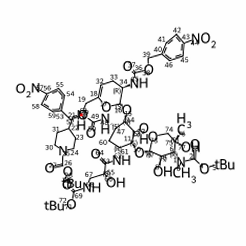 CN(C(=O)OC(C)(C)C)[C@@H]1[C@@H](O)[C@@H](O[C@@H]2[C@@H](O)[C@H](O[C@H]3OC(CNCC4CCN(C(=O)OC(C)(C)C)CC4)=CC[C@H]3NC(=O)OCc3ccc([N+](=O)[O-])cc3)[C@@H](NC(=O)OCc3ccc([N+](=O)[O-])cc3)C[C@H]2NC(=O)[C@@H](O)CNC(=O)OC(C)(C)C)OC[C@]1(C)O